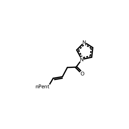 CCCCCC=CCC(=O)n1ccnc1